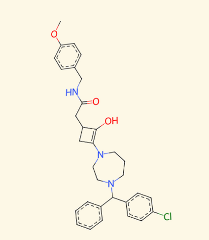 COc1ccc(CNC(=O)CC2CC(N3CCCN(C(c4ccccc4)c4ccc(Cl)cc4)CC3)=C2O)cc1